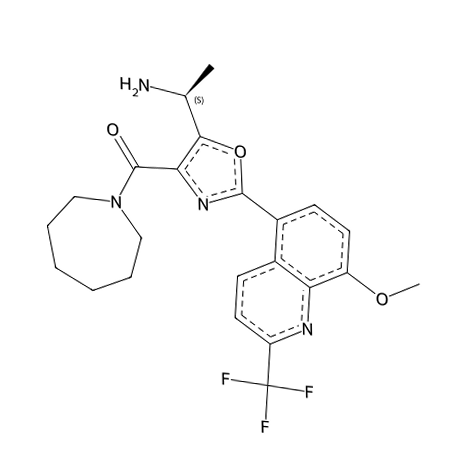 COc1ccc(-c2nc(C(=O)N3CCCCCC3)c([C@H](C)N)o2)c2ccc(C(F)(F)F)nc12